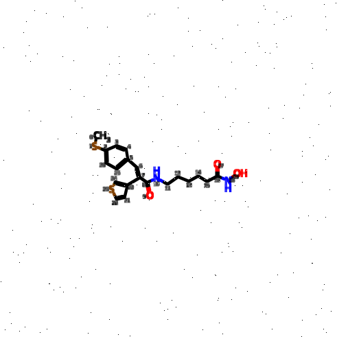 CSc1ccc(/C=C(/C(=O)NCCCCCC(=O)NO)c2ccsc2)cc1